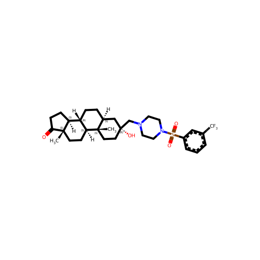 C[C@]12CC[C@](O)(CN3CCN(S(=O)(=O)c4cccc(C(F)(F)F)c4)CC3)C[C@@H]1CC[C@@H]1[C@@H]2CC[C@]2(C)C(=O)CC[C@@H]12